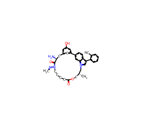 C=NN1CCCCC(=O)OC[C@@H](C)Cn2cc(-c3ccccc3C#N)c3ccc(cc32)-c2cc(O)cc(c2)C[C@H](N)C1=O